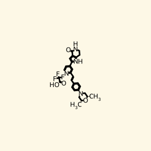 C[C@@H]1CN(c2ccc(C=Cc3cc(-c4cc5c([nH]4)CCNC5=O)ccn3)cc2)C[C@H](C)O1.O=C(O)C(F)(F)F